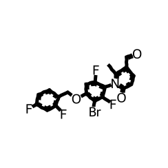 Cc1c(C=O)ccc(=O)n1-c1c(F)cc(OCc2ccc(F)cc2F)c(Br)c1F